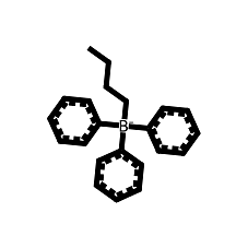 CCCC[B-](c1ccccc1)(c1ccccc1)c1ccccc1